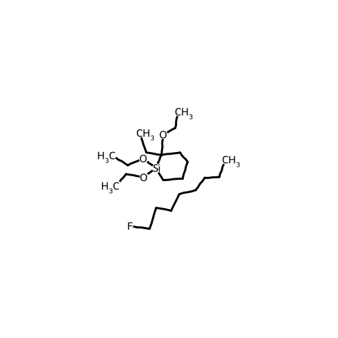 CCCCCCCCF.CCOC1(CC)CCCC[Si]1(OCC)OCC